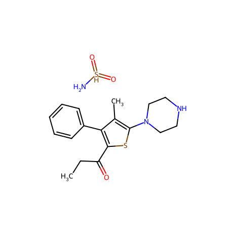 CCC(=O)c1sc(N2CCNCC2)c(C)c1-c1ccccc1.N[SH](=O)=O